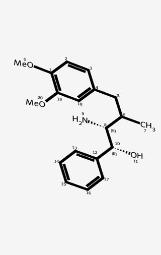 COc1ccc(CC(C)[C@@H](N)[C@H](O)c2ccccc2)cc1OC